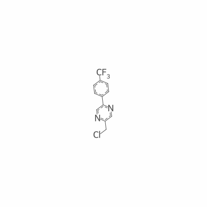 FC(F)(F)c1ccc(-c2cnc(CCl)cn2)cc1